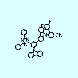 N#Cc1ccc(-n2c3ccccc3c3cc(-c4cc(-c5nc(-c6ccccc6)nc(-c6ccccc6)n5)cc(-n5c6ccccc6c6ccccc65)c4)ccc32)c(-c2cc(F)cc(F)c2)c1